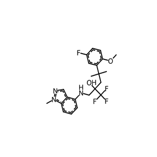 COc1ccc(F)cc1C(C)(C)CC(O)(CNc1cccc2c1cnn2C)C(F)(F)F